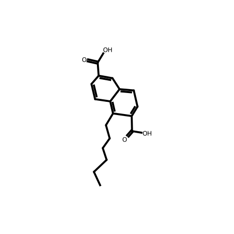 CCCCCCc1c(C(=O)O)ccc2cc(C(=O)O)ccc12